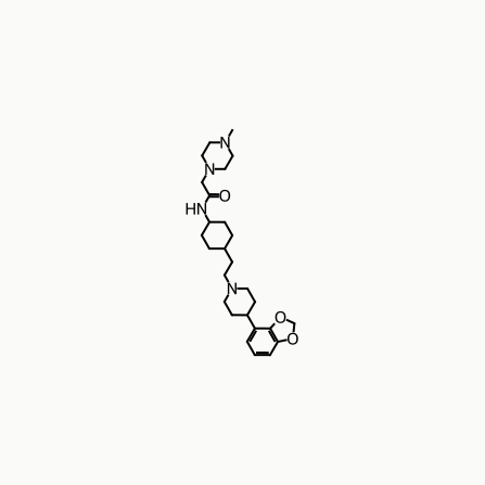 CN1CCN(CC(=O)NC2CCC(CCN3CCC(c4cccc5c4OCO5)CC3)CC2)CC1